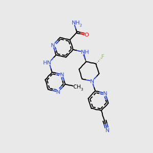 Cc1nccc(Nc2cc(N[C@@H]3CCN(c4ccc(C#N)cn4)C[C@H]3F)c(C(N)=O)cn2)n1